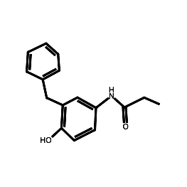 CCC(=O)Nc1ccc(O)c(Cc2ccccc2)c1